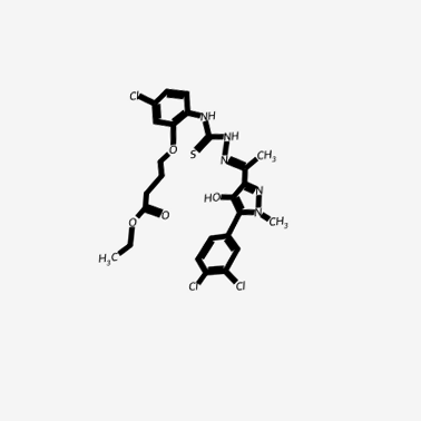 CCOC(=O)CCCOc1cc(Cl)ccc1NC(=S)N/N=C(\C)c1nn(C)c(-c2ccc(Cl)c(Cl)c2)c1O